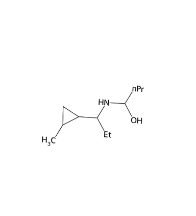 CCCC(O)NC(CC)C1CC1C